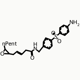 CCCCCC1OC1C/C=C/CC(=O)NCc1ccc(S(=O)(=O)c2ccc(N)cc2)cc1